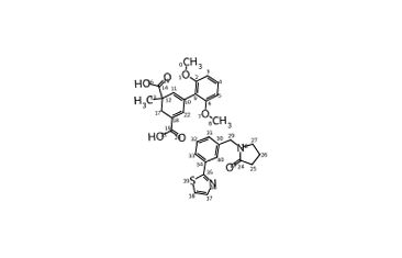 COc1cccc(OC)c1C1=CC(C)(C(=O)O)CC(C(=O)O)=C1.O=C1CCCN1Cc1cccc(-c2nccs2)c1